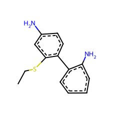 CCSc1cc(N)ccc1-c1ccccc1N